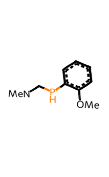 CNCPc1ccccc1OC